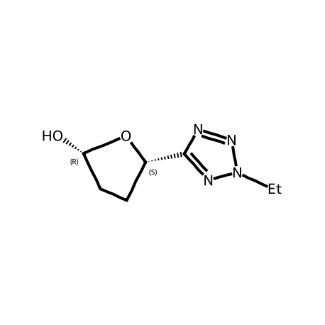 CCn1nnc([C@@H]2CC[C@H](O)O2)n1